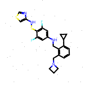 Fc1cc(NCc2c(CN3CCC3)cccc2C2CC2)cc(F)c1SNc1cscn1